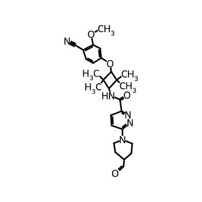 COc1cc(OC2C(C)(C)C(NC(=O)c3ccc(N4CCC(C=O)CC4)nn3)C2(C)C)ccc1C#N